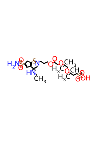 CCN[C@H]1CN(CCCOC(=O)COC(C)(C)COC(C)(C)CCS(=O)(=O)O)SC2=C1C=C(S(N)(=O)=O)C2